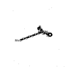 COCCOCCOCCOCCOCCOCCOCCNC(=O)[C@H](CC(=O)ON1C(=O)CCC1=O)NC(=O)OCC1[C@H]2CCC#CCC[C@@H]12